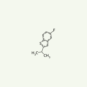 CC(C)c1cc2cc(F)ccc2s1